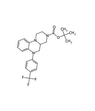 CC(C)(C)OC(=O)N1CCN2c3ccccc3N(c3ccc(C(F)(F)F)cc3)CC2C1